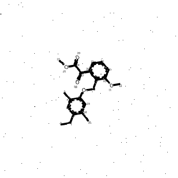 CCc1cc(C)c(OCc2c(OC)cccc2C(=O)C(=O)OC)cc1C